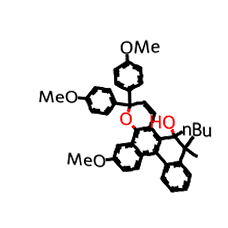 CCCCC1(O)c2c3c(c4cc(OC)ccc4c2-c2ccccc2C1(C)C)OC(c1ccc(OC)cc1)(c1ccc(OC)cc1)C=C3